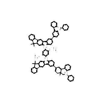 CC12CC=C(c3ccc4c(c3)c3cc5c(cc3n4-c3cc(C#N)c(-n4c6ccc(-c7ccc8c(c7)c7ccccc7n8-c7ccccc7)cc6c6cc7c(cc64)C(C)(C)c4ccccc4-7)cc3C#N)C(C)(C)c3ccccc3-5)C=C1c1ccccc1N(c1ccccc1)C2